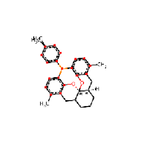 Cc1ccc(P(c2ccc(C)cc2)c2cccc3c2O[C@]24Oc5c(cccc5P(c5ccc(C)cc5)c5ccc(C)cc5)C[C@H]2CCCC4C3)cc1